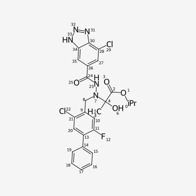 CC(C)OC(=O)C(C)(O)N(Cc1cc(F)c(-c2ccccc2)cc1Cl)NC(=O)c1cc(Cl)c2nn[nH]c2c1